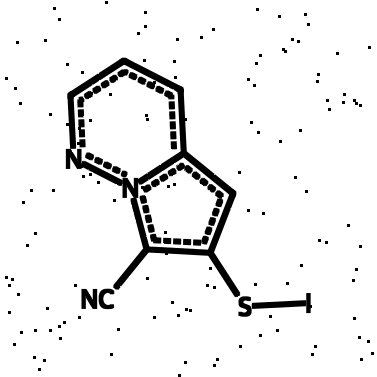 N#Cc1c(SI)cc2cccnn12